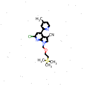 Cc1ccnc(-c2cc(Cl)nc3c2c(C#N)cn3COCCS(C)(C)C)c1